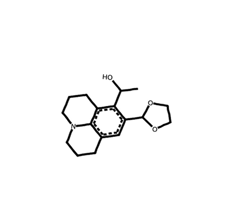 CC(O)c1c(C2OCCO2)cc2c3c1CCCN3CCC2